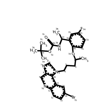 CC(CCCn1cnc2cnc3ccc(Br)cc3c21)Oc1ccc(F)cc1C(C)NC(=O)OC(C)(C)C